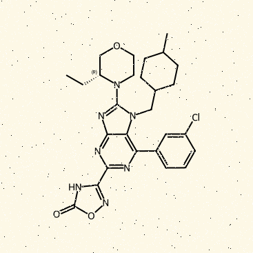 CC[C@@H]1COCCN1c1nc2nc(-c3noc(=O)[nH]3)nc(-c3cccc(Cl)c3)c2n1CC1CCC(C)CC1